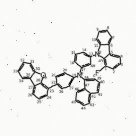 Fc1cccc2c3ccccc3n(-c3cccc(N(c4ccc(-c5cccc6c5oc5ccccc56)cc4)c4cccc5ccccc45)c3)c12